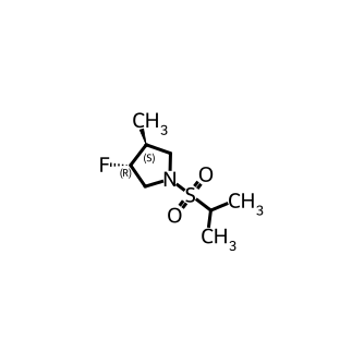 CC(C)S(=O)(=O)N1C[C@H](C)[C@@H](F)C1